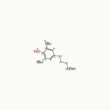 CCCCCCCCCCCCSc1cc(C(C)(C)C)c(O)c(C(C)(C)C)c1